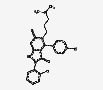 CN(C)CCCn1c(-c2ccc(Cl)cc2)c2c(=O)n(-c3ccccc3Cl)[nH]c2cc1=O